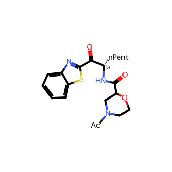 CCCCC[C@H](NC(=O)C1CN(C(C)=O)CCO1)C(=O)c1nc2ccccc2s1